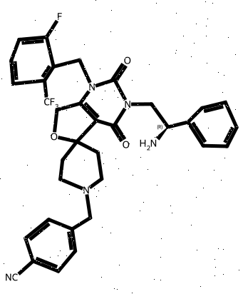 N#Cc1ccc(CN2CCC3(CC2)OCc2c3c(=O)n(C[C@H](N)c3ccccc3)c(=O)n2Cc2c(F)cccc2C(F)(F)F)cc1